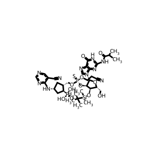 CC(C)C(=O)Nc1nc2c(ncn2[C@@H]2O[C@H](CO)[C@@H](O[Si](C)(C)C(C)(C)C)[C@H]2O[P@@](=S)(OCCC#N)OC[C@H]2C[C@@H](Nc3ncncc3C#N)C[C@@H]2P(=O)(O)O)c(=O)[nH]1